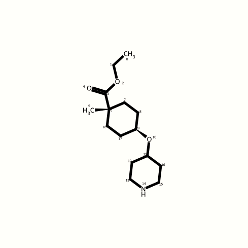 CCOC(=O)[C@]1(C)CC[C@@H](OC2CCNCC2)CC1